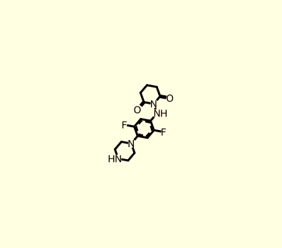 O=C1CCCC(=O)N1Nc1cc(F)c(N2CCNCC2)cc1F